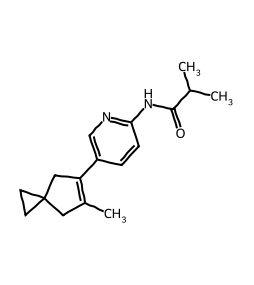 CC1=C(c2ccc(NC(=O)C(C)C)nc2)CC2(CC2)C1